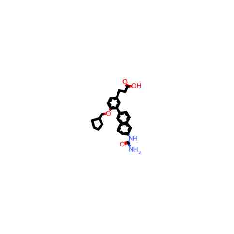 NC(=O)Nc1ccc2cc(-c3cc(CCC(=O)O)ccc3OCC3CCCC3)ccc2c1